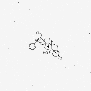 C[C@]12CCC(=O)C=C1CC[C@@H]1[C@@H]2[C@@H](O)C[C@@]2(C)[C@H]1CC[C@]2(OC(=O)c1ccccc1)C(=O)CCl